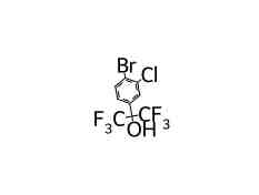 OC(c1ccc(Br)c(Cl)c1)(C(F)(F)F)C(F)(F)F